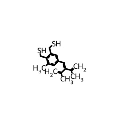 C=C(C)C(=Cc1cc(C)c(CS)c(CS)c1)C(=C)C